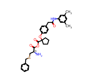 Cc1cc(C)cc(NC(=O)Cc2ccc(OC3(C(=O)OC(=O)[C@@H](N)CSCc4ccccc4)CCCC3)cc2)c1